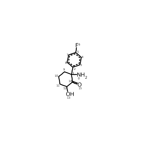 NC1(c2ccc(F)cc2)CCCC(O)C1=O